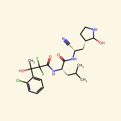 CC(C)C[C@H](NC(=O)C(F)(F)C(C)(O)c1ccccc1Cl)C(=O)N[C@H](C#N)C[C@@H]1CCNC1O